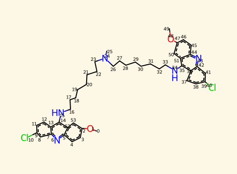 COc1ccc2nc3cc(Cl)ccc3c(NCCCCCCCCN(C)CCCCCCCCNc3c4ccc(Cl)cc4nc4ccc(OC)cc34)c2c1